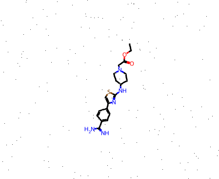 CCOC(=O)CN1CCC(Nc2nc(-c3ccc(C(=N)N)cc3)cs2)CC1